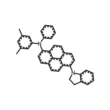 Cc1cc(C)cc(N(c2ccccc2)c2ccc3ccc4c(N5CCc6ccccc65)ccc5ccc2c3c54)c1